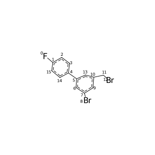 Fc1ccc(-c2cc(Br)cc(CBr)c2)cc1